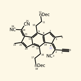 C#C/C(C#N)=C1\C(C)=Cc2c(CCCCCCCCCCCC)c3c(c(CCCCCCCCCCCC)c21)C=C(C)C3=C(C#N)C#N